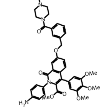 COC(=O)c1c(-c2cc(OC)c(OC)c(OC)c2)c2ccc(OCc3cccc(C(=O)N4CCN(C)CC4)c3)cc2c(=O)n1-c1ccc(N)cc1